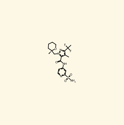 Cc1c(C(C)(F)F)nn(C[C@]2(C)CCCCO2)c1C(=O)Nc1ccnc(S(N)(=O)=O)c1